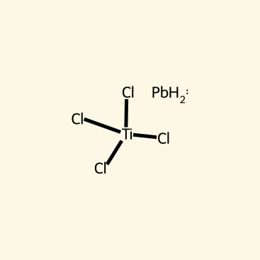 [Cl][Ti]([Cl])([Cl])[Cl].[PbH2]